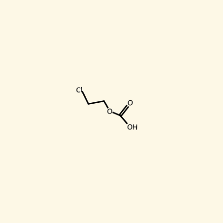 O=C(O)OCCCl